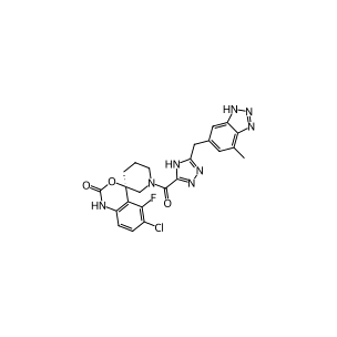 Cc1cc(Cc2nnc(C(=O)N3CCC[C@@]4(C3)OC(=O)Nc3ccc(Cl)c(F)c34)[nH]2)cc2[nH]nnc12